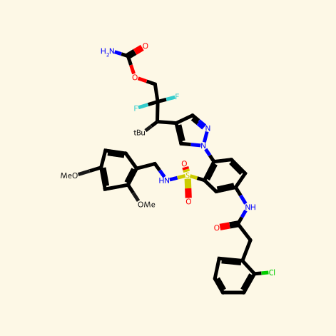 COc1ccc(CNS(=O)(=O)c2cc(NC(=O)Cc3ccccc3Cl)ccc2-n2cc(C(C(C)(C)C)C(F)(F)COC(N)=O)cn2)c(OC)c1